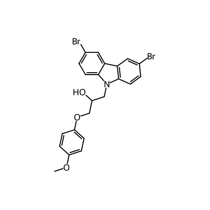 COc1ccc(OCC(O)Cn2c3ccc(Br)cc3c3cc(Br)ccc32)cc1